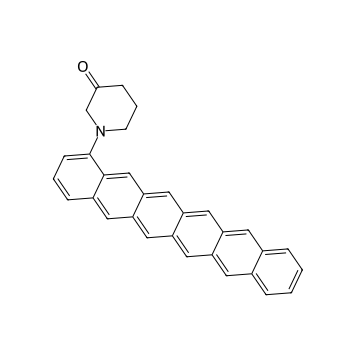 O=C1CCCN(c2cccc3cc4cc5cc6cc7ccccc7cc6cc5cc4cc23)C1